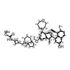 C#Cc1c(F)ccc2cc(O)cc(-c3ncc4c(N5CCCOCC5)nc(OC[C@]56CCC[C@H]5N(CC5CC(NC(=O)OC(C)(C)C)C5)CCC6)nc4c3F)c12